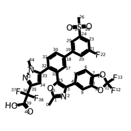 Cc1nc(-c2ccc3c(c2)OC(F)(F)O3)c(-c2cc(-c3cc(F)cc(S(C)(=O)=O)c3)ccc2-c2cc(C(F)(F)C(=O)O)nn2C)o1